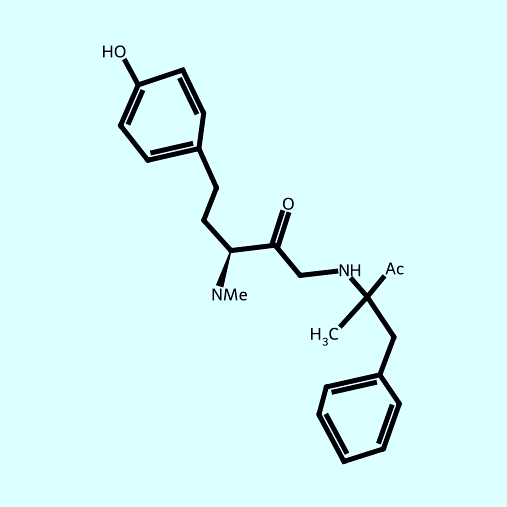 CN[C@@H](CCc1ccc(O)cc1)C(=O)CNC(C)(Cc1ccccc1)C(C)=O